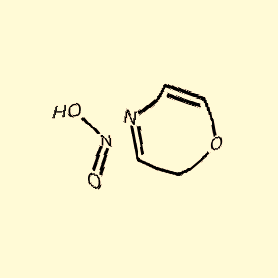 C1=COCC=N1.O=NO